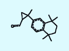 CC1(C)CCC(C)(C)c2cc(C3(C)CC3C=O)ccc21